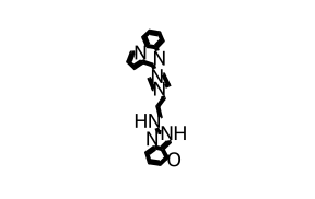 O=c1cccc2nc(NCCCN3CCN(c4nc5ccccc5n5cccc45)CC3)[nH]cc1-2